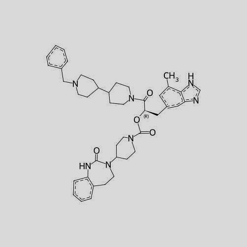 Cc1cc(C[C@@H](OC(=O)N2CCC(N3CCc4ccccc4NC3=O)CC2)C(=O)N2CCC(C3CCN(Cc4ccccc4)CC3)CC2)cc2nc[nH]c12